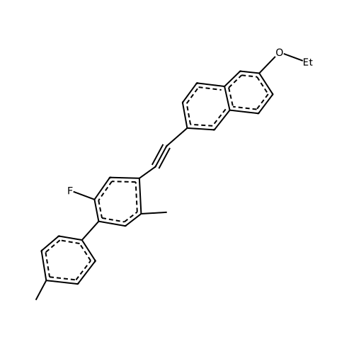 CCOc1ccc2cc(C#Cc3cc(F)c(-c4ccc(C)cc4)cc3C)ccc2c1